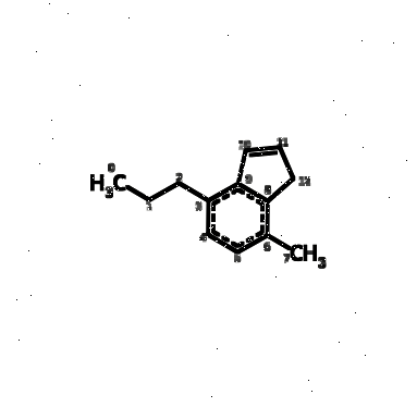 CCCc1ccc(C)c2c1C=CC2